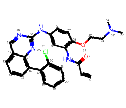 C=CC(=O)Nc1cc(Nc2ncc3cccc(-c4ccccc4Cl)c3n2)ccc1OCCN(C)C